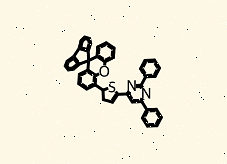 C1=C(c2cc(-c3ccccc3)nc(-c3ccccc3)n2)SC(c2cccc3c2Oc2ccccc2C32c3ccccc3-c3ccccc32)C1